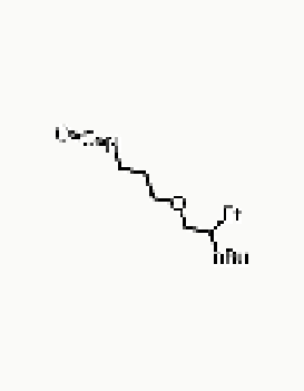 CCCCC(CC)COCCCN=C=O